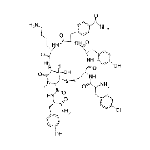 CN1C(=O)[C@H]2NC(=O)[C@H](CCCCN)NC(=O)[C@@H](Cc3ccc(C(N)=O)cc3)NC(=O)[C@H](Cc3ccc(O)cc3)NC(=O)[C@H](NC(=O)[C@@H](N)Cc3ccc(Cl)cc3)CSSC([C@H]2O)[C@H]1C(=O)N[C@H](Cc1ccc(O)cc1)C(N)=O